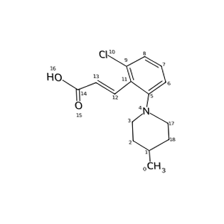 CC1CCN(c2cccc(Cl)c2C=CC(=O)O)CC1